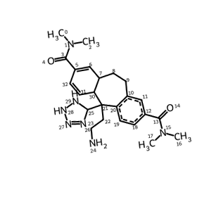 CN(C)C(=O)C1=CC2CCc3cc(C(=O)N(C)C)ccc3C(CCN)(C3N=NNN3)C2C=C1